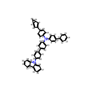 C1=C(c2ccc(N(c3ccc(-c4ccccc4)cc3)c3ccc(-c4ccc(-n5c6ccccc6c6ccccc65)cc4)cc3)cc2)C=C2CC12